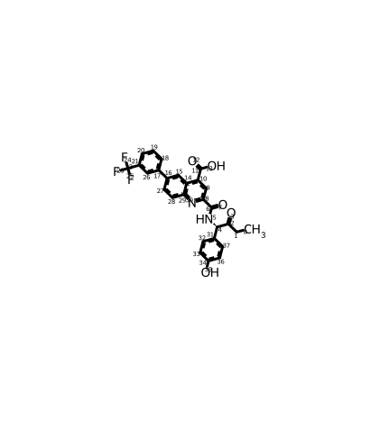 CCC(=O)[C@@H](NC(=O)c1cc(C(=O)O)c2cc(-c3cccc(C(F)(F)F)c3)ccc2n1)c1ccc(O)cc1